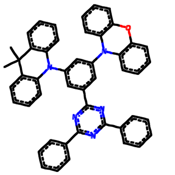 CC1(C)c2ccccc2N(c2cc(-c3nc(-c4ccccc4)nc(-c4ccccc4)n3)cc(N3c4ccccc4Oc4ccccc43)c2)c2ccccc21